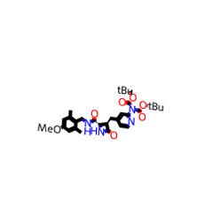 COc1cc(C)c(CNC(=O)[C@H]2NC(=O)[C@@H]2Cc2ccnc(N(C(=O)OC(C)(C)C)C(=O)OC(C)(C)C)c2)c(C)c1